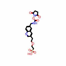 O=C(NCc1ccc2ncc(CCOCCS(=O)(=O)O)cc2c1)ON1C(=O)CCC1=O